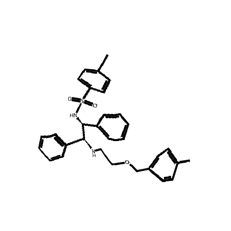 Cc1ccc(COCCN[C@@H](c2ccccc2)[C@@H](NS(=O)(=O)c2ccc(C)cc2)c2ccccc2)cc1